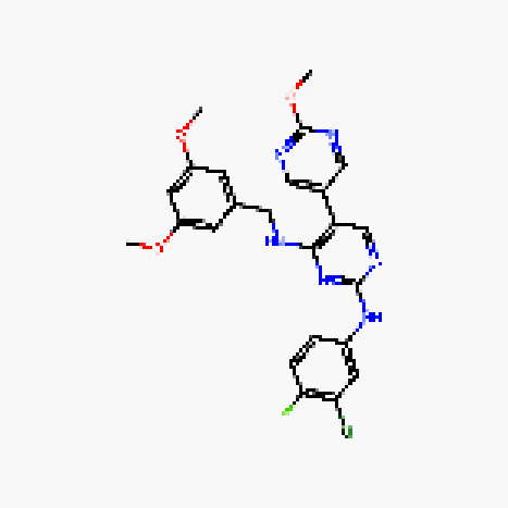 COc1cc(CNc2nc(Nc3ccc(F)c(Cl)c3)ncc2-c2cnc(OC)nc2)cc(OC)c1